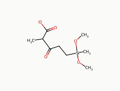 CO[Si](C)(CCC(=O)C(C)C([O])=O)OC